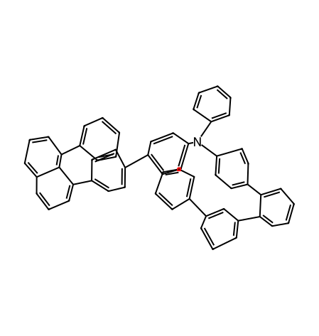 c1ccc(-c2cccc(-c3ccccc3-c3ccc(N(c4ccccc4)c4ccc(-c5ccc(-c6cccc7cccc(-c8ccccc8)c67)cc5)cc4)cc3)c2)cc1